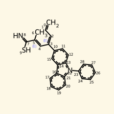 C=C/C=C(\C=C(/C)C(=N)S)c1ccc2c(c1)c1ccccc1n2-c1ccccc1